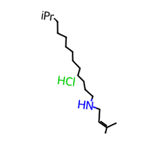 CC(C)=CCNCCCCCCCCCCCC(C)C.Cl